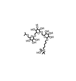 CC(C)OCC1OC(OCC2OC(OCC3OC(OCCCCCOP(=O)(O)C(C)(C)C)C(O)C(O)C3O)C(O)C(O)C2O)C(O)C(O)C1O